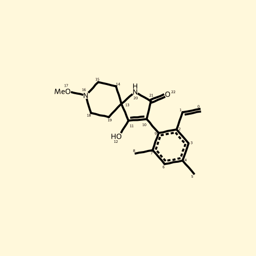 C=Cc1cc(C)cc(C)c1C1=C(O)C2(CCN(OC)CC2)NC1=O